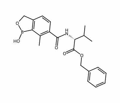 Cc1c(C(=O)N[C@@H](C(=O)OCc2ccccc2)C(C)C)ccc2c1B(O)OC2